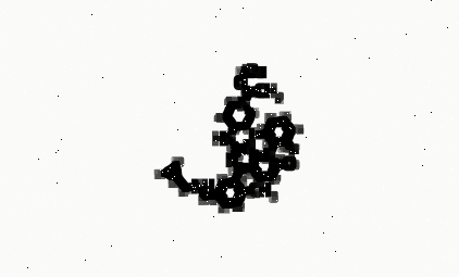 C=C(OC(C)(C)C)N1CCC(Nc2nc(-c3cc(CNCC4CC4)ccc3C)c3ccc(=O)n(-c4c(F)cccc4F)c3n2)CC1